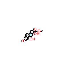 CCOCC(=O)[C@@]1(O)[C@H](C)C[C@H]2[C@@H]3CCC4=CC(=O)C=C[C@@H]4[C@@]3(F)[C@@H](O)C[C@@]21C